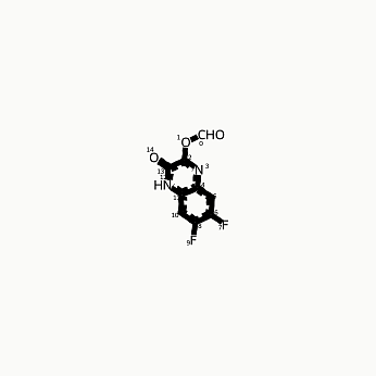 O=COc1nc2cc(F)c(F)cc2[nH]c1=O